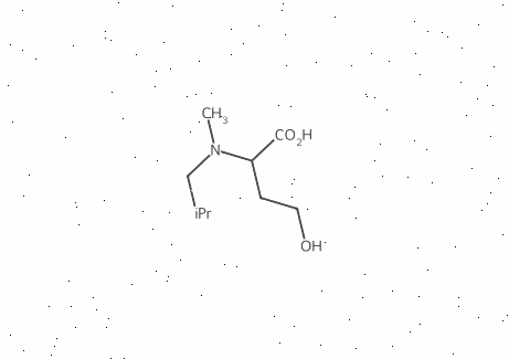 CC(C)CN(C)C(CCO)C(=O)O